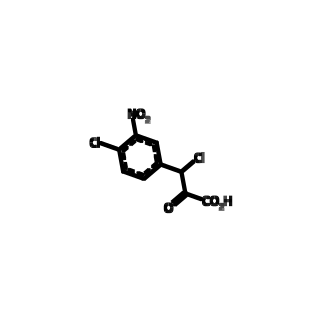 O=C(O)C(=O)C(Cl)c1ccc(Cl)c([N+](=O)[O-])c1